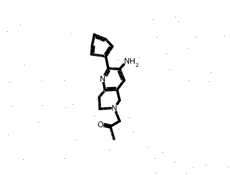 CC(=O)CN1CCc2nc(-c3ccccc3)c(N)cc2C1